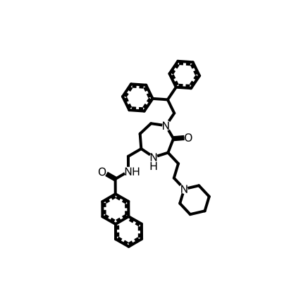 O=C(NCC1CCN(CC(c2ccccc2)c2ccccc2)C(=O)C(CCN2CCCCC2)N1)c1ccc2ccccc2c1